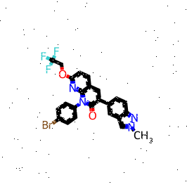 Cn1cc2cc(-c3cc4ccc(OCC(F)(F)F)nc4n(-c4ccc(Br)cc4)c3=O)ccc2n1